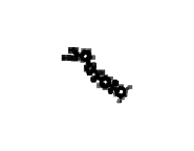 C[C@@H]1C[C@H](C)CN(S(=O)(=O)c2ccc(C(=O)Nc3nnc(-c4cccc(C(=N)NO)c4)o3)cc2)C1